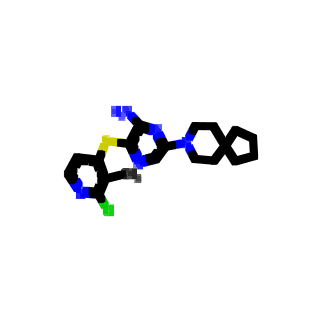 Cc1c(Sc2ncc(N3CCC4(CCCC4)CC3)nc2N)ccnc1Cl